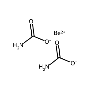 NC(=O)[O-].NC(=O)[O-].[Be+2]